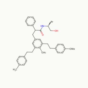 COc1ccc(CCc2cc(CC(C(=O)N[C@H](CO)C(C)C)c3ccccc3)cc(CCc3ccc(C)cc3)c2OC(C)=O)cc1